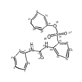 O=C(Nc1ccccc1)Nc1ccccc1S(=O)(=O)Oc1ccccc1